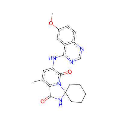 COc1ccc2ncnc(Nc3cc(C)c4n(c3=O)C3(CCCCC3)NC4=O)c2c1